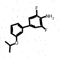 CC(C)Oc1cccc(-c2cc(F)c(N)c(F)c2)c1